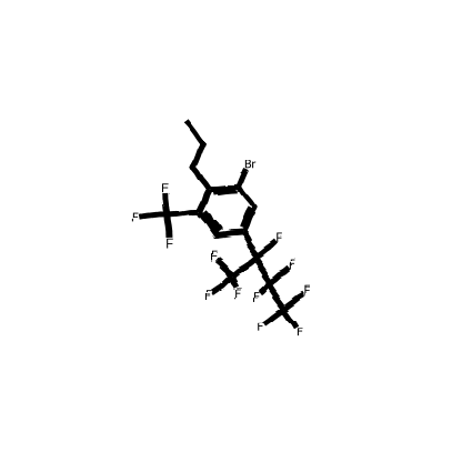 CCCc1c(Br)cc(C(F)(C(F)(F)F)C(F)(F)C(F)(F)F)cc1C(F)(F)F